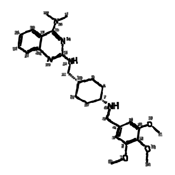 COc1cc(CN[C@H]2CC[C@@H](CNc3nc(N(C)C)c4ccccc4n3)CC2)cc(OC)c1OC